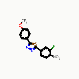 O=[N+]([O-])c1ccc(-c2nnc(-c3ccc(OC(F)(F)F)cc3)s2)cc1F